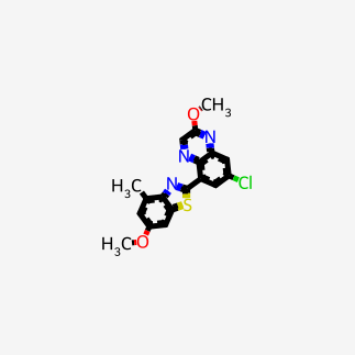 COc1cc(C)c2nc(-c3cc(Cl)cc4nc(OC)cnc34)sc2c1